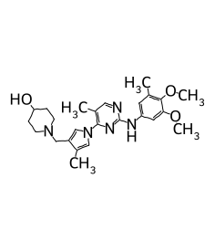 COc1cc(Nc2ncc(C)c(-n3cc(C)c(CN4CCC(O)CC4)c3)n2)cc(C)c1OC